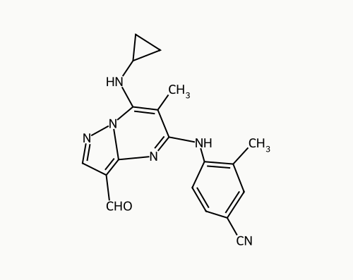 Cc1cc(C#N)ccc1Nc1nc2c(C=O)cnn2c(NC2CC2)c1C